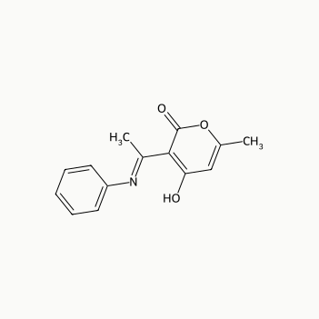 CC(=Nc1ccccc1)c1c(O)cc(C)oc1=O